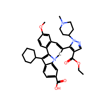 CCOC(=O)c1cnn(C2CCN(C)CC2)c1C1=Cc2cc(OC)ccc2-c2c(C3CCCCC3)c3ccc(C(=O)O)cc3n2C1